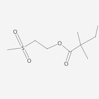 CCC(C)(C)C(=O)OCCS(C)(=O)=O